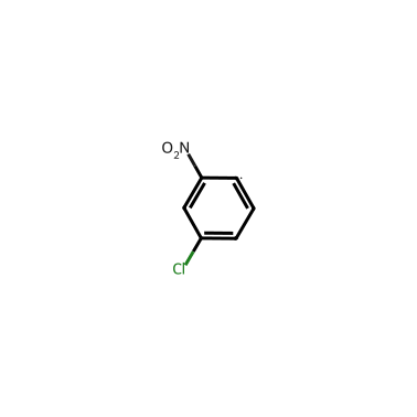 O=[N+]([O-])c1[c]ccc(Cl)c1